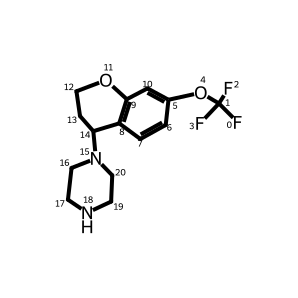 FC(F)(F)Oc1ccc2c(c1)OCCC2N1CCNCC1